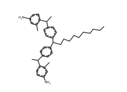 CCCCCCCCCCC(c1ccc(C(C)c2ccc(N)cc2C)cc1)c1ccc(C(C)c2ccc(N)cc2C)cc1